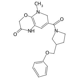 CN1CC(C(=O)N2CCC(COc3ccccc3)C2)=CC2=C1OCC(=O)N2